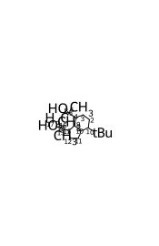 CC(C)(C)C1CCC(C(C)(C)O)C2C1CCC2C(C)(C)O